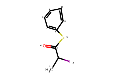 CC(I)C(=O)Sc1ccccc1